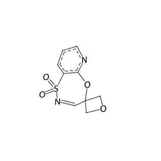 O=S1(=O)N=CC2(COC2)Oc2ncccc21